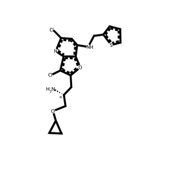 N[C@@H](COC1CC1)Cc1oc2c(NCc3cccs3)cc(Cl)nc2c1Cl